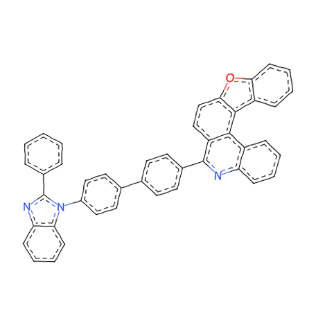 c1ccc(-c2nc3ccccc3n2-c2ccc(-c3ccc(-c4nc5ccccc5c5c4ccc4oc6ccccc6c45)cc3)cc2)cc1